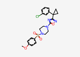 COc1ccc(S(=O)(=O)N2CCN(c3nc(C4(c5cccc(Cl)c5)CC4)no3)CC2)cc1